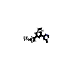 C=C/C=C(\C=C/C)c1cc(-c2cnc(NC(C)C)s2)cn2ccnc12